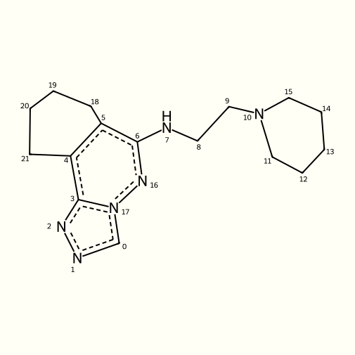 c1nnc2c3c(c(NCCN4CCCCC4)nn12)CCCC3